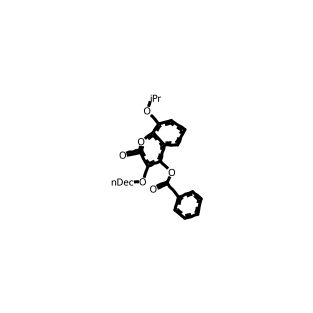 CCCCCCCCCCOc1c(OC(=O)c2ccccc2)c2cccc(OC(C)C)c2oc1=O